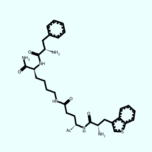 CC(=O)[C@H](CCC(=O)NCCCC[C@H](NC(=O)[C@@H](N)Cc1ccccc1)C(N)=O)NC(=O)[C@@H](N)Cc1csc2ccccc12